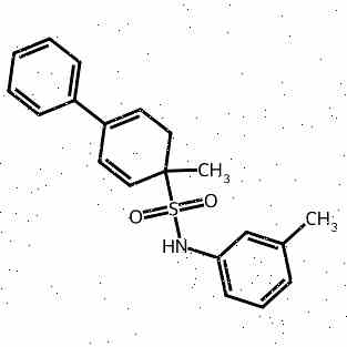 Cc1cccc(NS(=O)(=O)C2(C)C=CC(c3ccccc3)=CC2)c1